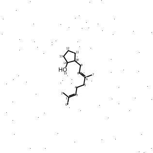 CC(C)=CCC/C(C)=C/CC1CCCC1O